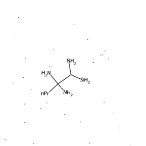 CCCC(N)(N)C(N)[SiH3]